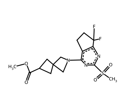 COC(=O)C1CC2(C1)CN(c1nc(S(C)(=O)=O)nc3c1CCC3(F)F)C2